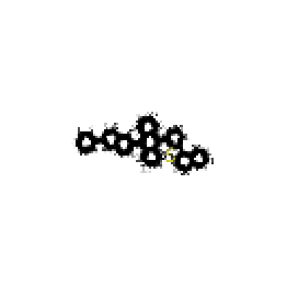 c1ccc(-c2ccc3cc(-c4c5ccccc5c(-c5cccc6c5sc5ccc7ccccc7c56)c5ccccc45)ccc3c2)cc1